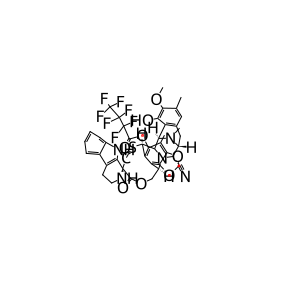 COc1c(C)cc2c(c1O)[C@@H]1C3[C@@H]4SC[C@]5(NCCc6c5[nH]c5ccccc65)C(=O)OC[C@@H](c5c6c(c(C)c(OC(=O)C(F)(F)C(F)(F)C(F)(F)F)c54)OCO6)N3[C@@H](C#N)[C@@H](C2)N1C